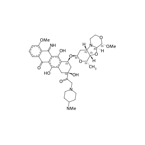 CNC1CCN(CC(=O)[C@]2(O)Cc3c(O)c4c(c(O)c3[C@@H](O[C@H]3C[C@H]5[C@H](O[C@@H]6[C@@H](OC)OCCN65)[C@H](C)O3)C2)C(=N)c2c(OC)cccc2C4=O)CC1